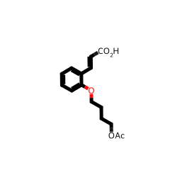 CC(=O)OCCCCOc1ccccc1C=CC(=O)O